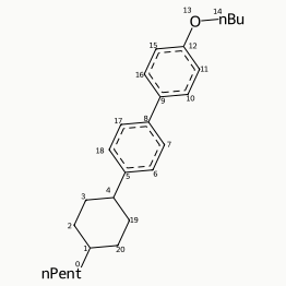 CCCCCC1CCC(c2ccc(-c3ccc(OCCCC)cc3)cc2)CC1